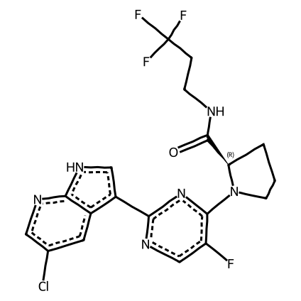 O=C(NCCC(F)(F)F)[C@H]1CCCN1c1nc(-c2c[nH]c3ncc(Cl)cc23)ncc1F